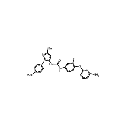 COc1ccc(-n2nc(C(C)(C)C)cc2NC(=O)Nc2ccc(Oc3nccc(N)n3)c(F)c2)cc1